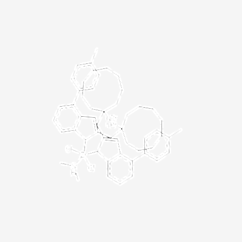 CCCC1(CC2=Cc3c(-c4ccc(C)cc4)cccc3[CH]2[Zr]([Cl])([Cl])([CH]2C(CC3(CCC)CCCCCCCC3)=Cc3c(-c4ccc(C)cc4)cccc32)[SiH](C)C)CCCCCCCC1